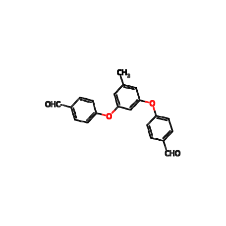 Cc1cc(Oc2ccc(C=O)cc2)cc(Oc2ccc(C=O)cc2)c1